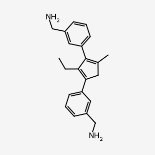 CCC1=C(c2cccc(CN)c2)CC(C)=C1c1cccc(CN)c1